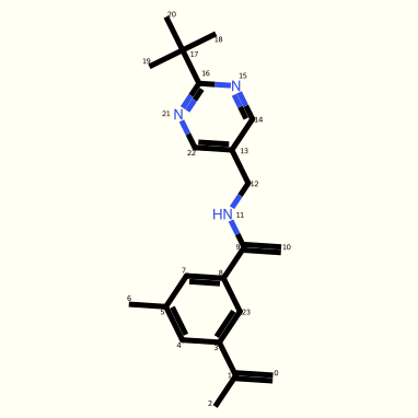 C=C(C)c1cc(C)cc(C(=C)NCc2cnc(C(C)(C)C)nc2)c1